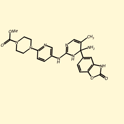 COC(=O)N1CCN(c2ccc(NC3=NC=C(C)C(N)(c4ccc5oc(=O)[nH]c5c4)N3)cn2)CC1